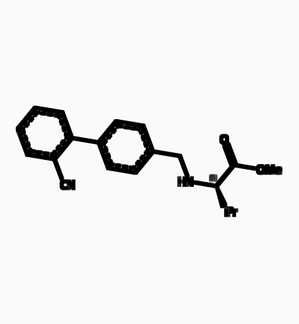 COC(=O)[C@H](NCc1ccc(-c2ccccc2C#N)cc1)C(C)C